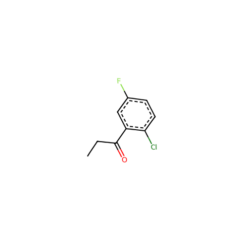 CCC(=O)c1cc(F)ccc1Cl